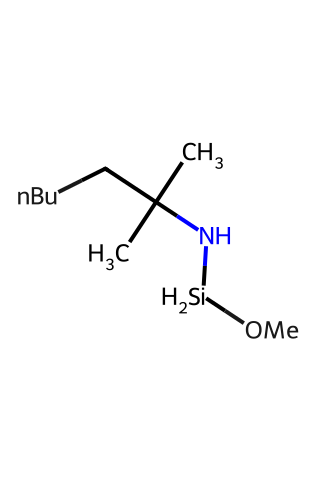 CCCCCC(C)(C)N[SiH2]OC